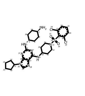 N[C@H]1CC[C@H](Nc2nc(NC3CCN(S(=O)(=O)c4c(Cl)cccc4Cl)CC3)c3ncn(C4CCCC4)c3n2)CC1